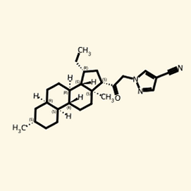 CC[C@@H]1C[C@H](C(=O)Cn2cc(C#N)cn2)[C@@]2(C)CC[C@H]3[C@@H](CC[C@@H]4C[C@@H](C)CC[C@@H]43)[C@H]12